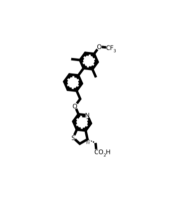 Cc1cc(OC(F)(F)F)cc(C)c1-c1cccc(COc2cc3c(cn2)[C@H](CC(=O)O)CS3)c1